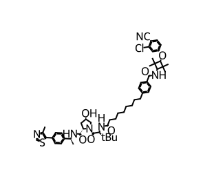 Cc1ncsc1-c1ccc([C@H](C)NC(=O)[C@@H]2C[C@@H](O)CN2C(=O)C(NC(=O)CCCCCCCCc2ccc(C(=O)NC3C(C)(C)C(Oc4ccc(C#N)c(Cl)c4)C3(C)C)cc2)C(C)(C)C)cc1